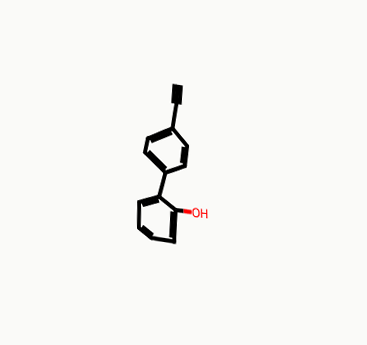 C#Cc1ccc(-c2ccccc2O)cc1